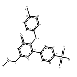 COCc1cc(=O)c(Oc2ccc(Cl)cc2)c(-c2ccc(S(C)(=O)=O)cc2)o1